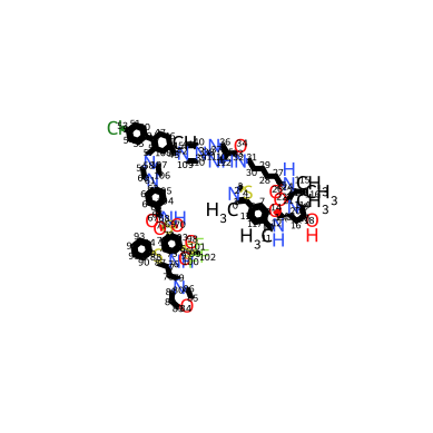 Cc1ncsc1-c1ccc([C@H](C)NC(=O)[C@@H]2C[C@@H](O)CN2C(=O)C(NC(=O)CCCCCNC(=O)c2cnc(N3CCN(CC4(C)CCC(c5ccc(Cl)cc5)=C(CN5CCN(c6ccc(C(=O)NS(=O)(=O)c7ccc(NC(CCN8CCCOCC8)CSc8ccccc8)c(S(=O)(=O)C(F)(F)F)c7)cc6)CC5)C4)CC3)nc2)C(C)(C)C)cc1